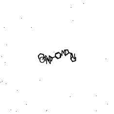 c1cc(N2CCC(CN3CCCC3)C2)ccc1-c1cnn(C2CCCCO2)c1